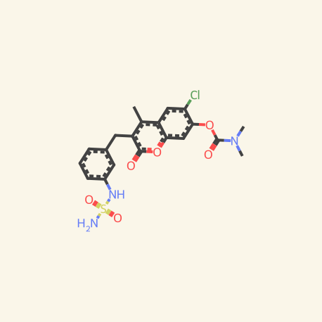 Cc1c(Cc2cccc(NS(N)(=O)=O)c2)c(=O)oc2cc(OC(=O)N(C)C)c(Cl)cc12